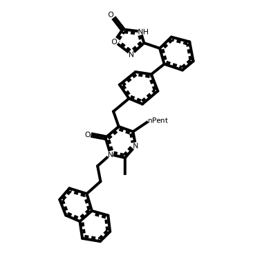 CCCCCc1nc(C)n(CCc2cccc3ccccc23)c(=O)c1Cc1ccc(-c2ccccc2-c2noc(=O)[nH]2)cc1